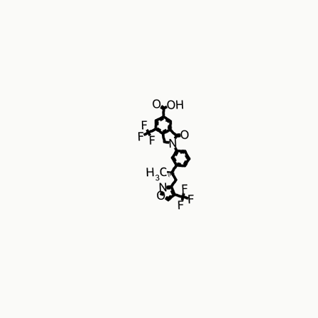 C[C@H](Cc1nocc1C(F)(F)F)c1cccc(N2Cc3c(cc(C(=O)O)cc3C(F)(F)F)C2=O)c1